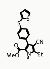 CCc1c(C#N)c(-c2ccc(Sc3cccs3)cc2)c(C(=O)OC)n1C